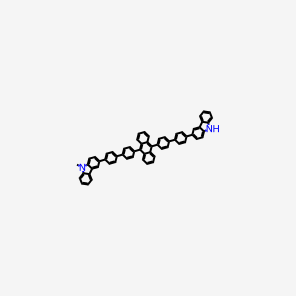 Cn1c2ccccc2c2cc(-c3ccc(-c4ccc(-c5c6ccccc6c(-c6ccc(-c7ccc(-c8ccc9[nH]c%10ccccc%10c9c8)cc7)cc6)c6ccccc56)cc4)cc3)ccc21